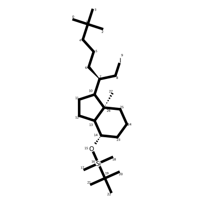 CC(C)(C)CCC[C@@H](CI)C1CCC2[C@@H](O[Si](C)(C)C(C)(C)C)CCC[C@]12C